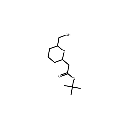 CC(C)(C)OC(=O)CC1CCCC(CO)O1